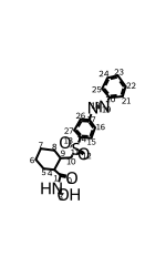 O=C(NO)C1CCCCC1CS(=O)(=O)c1ccc(N=Nc2ccccc2)cc1